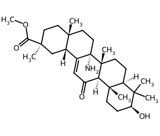 COC(=O)[C@@]1(C)CC[C@]2(C)CC[C@]3(N)C(=CC(=O)[C@@H]4[C@@]5(C)CC[C@H](O)C(C)(C)[C@@H]5CC[C@]43C)[C@@H]2C1